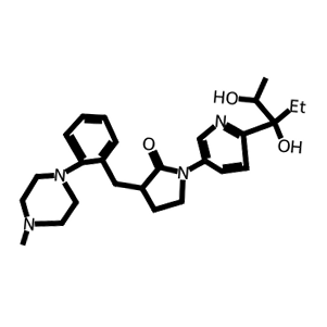 CCC(O)(c1ccc(N2CCC(Cc3ccccc3N3CCN(C)CC3)C2=O)cn1)C(C)O